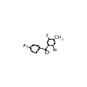 Cc1cc(Br)c(C(=O)c2ccc(F)cc2)cc1F